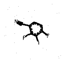 N#Cc1ccc(F)c(I)c1F